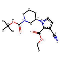 CCOC(=O)c1c(C#N)ccn1[C@@H]1CCCN(C(=O)OC(C)(C)C)C1